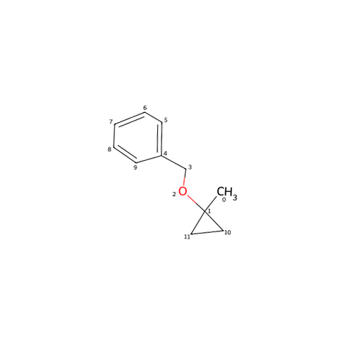 CC1(OCc2ccccc2)CC1